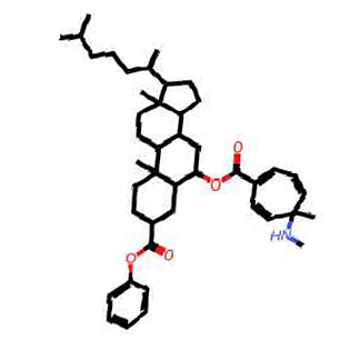 CNC1(C)C=CC=C(C(=O)OC2CC3C4CCC(C(C)CCCC(C)C)C4(C)CCC3C3(C)CCC(C(=O)Oc4ccccc4)CC23)C=C1